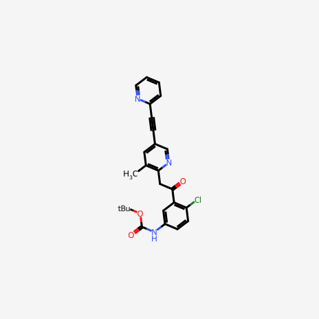 Cc1cc(C#Cc2ccccn2)cnc1CC(=O)c1cc(NC(=O)OC(C)(C)C)ccc1Cl